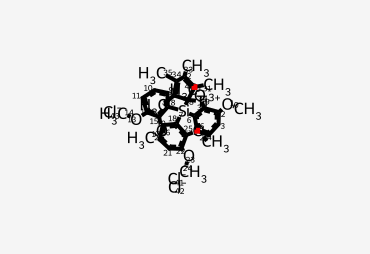 COc1cccc([Si](c2cccc(OC)c2OC)(c2cccc(OC)c2OC)[C]2([Ti+3])C(C)=C(C)C(C)=C2C)c1OC.[Cl-].[Cl-].[Cl-]